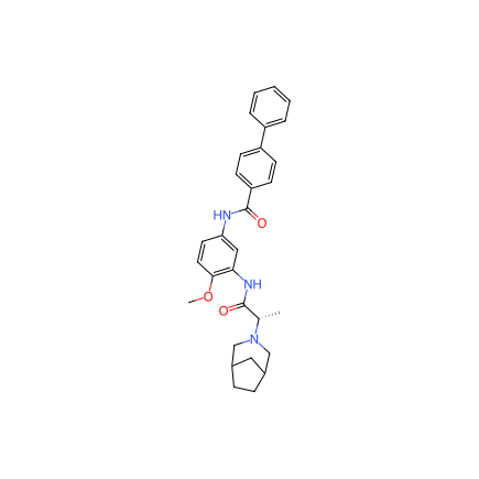 COc1ccc(NC(=O)c2ccc(-c3ccccc3)cc2)cc1NC(=O)[C@H](C)N1CC2CCC(C2)C1